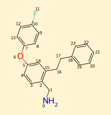 NCc1ccc(Oc2ccc(F)cc2)cc1CCc1ccccc1